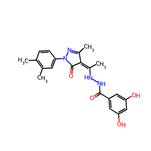 CC1=NN(c2ccc(C)c(C)c2)C(=O)/C1=C(/C)NNC(=O)c1cc(O)cc(O)c1